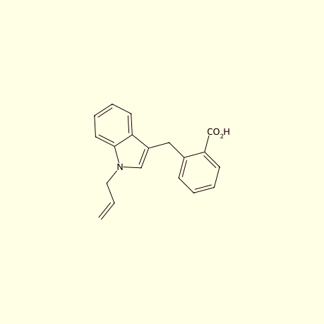 C=CCn1cc(Cc2ccccc2C(=O)O)c2ccccc21